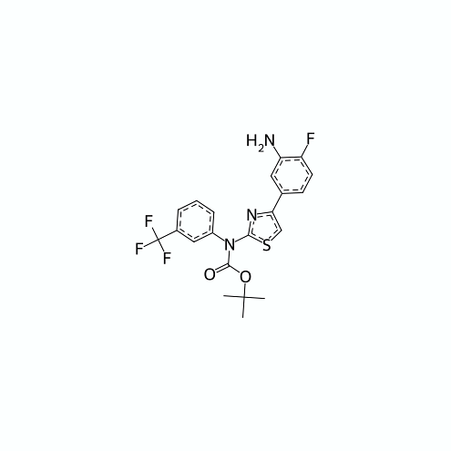 CC(C)(C)OC(=O)N(c1cccc(C(F)(F)F)c1)c1nc(-c2ccc(F)c(N)c2)cs1